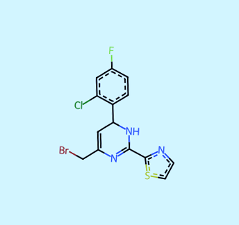 Fc1ccc(C2C=C(CBr)N=C(c3nccs3)N2)c(Cl)c1